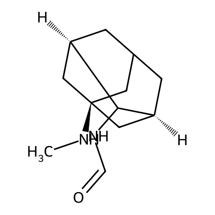 CN[C@]12CC3C[C@H](C1)C(NC=O)[C@@H](C3)C2